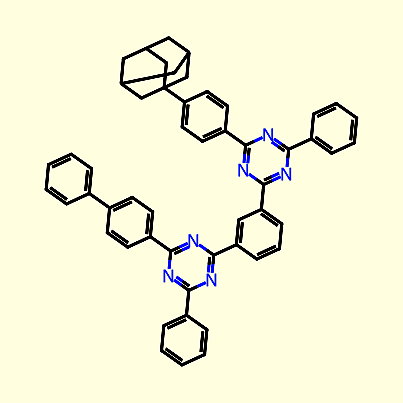 c1ccc(-c2ccc(-c3nc(-c4ccccc4)nc(-c4cccc(-c5nc(-c6ccccc6)nc(-c6ccc(C78CC9CC(CC(C9)C7)C8)cc6)n5)c4)n3)cc2)cc1